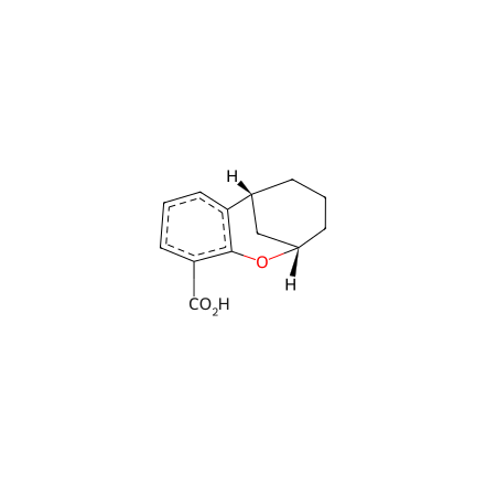 O=C(O)c1cccc2c1O[C@H]1CCC[C@@H]2C1